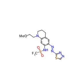 COCCN1CCCc2cc(N=Nc3nncs3)c(NS(=O)(=O)C(F)(F)F)cc21